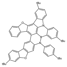 CC(C)(C)c1ccc(N2B3c4cc(C(C)(C)C)ccc4-n4c5ccc(C(C)(C)C)cc5c5c6oc7ccccc7c6c(c3c54)-c3cc4c(cc32)oc2cc(C(C)(C)C)ccc24)cc1